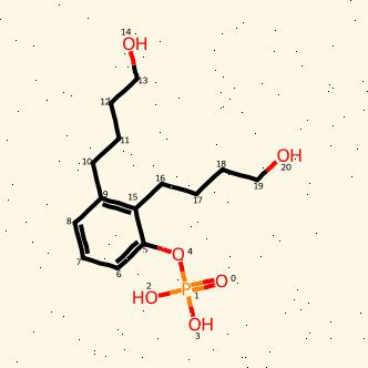 O=P(O)(O)Oc1cccc(CCCCO)c1CCCCO